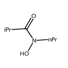 CCCN(O)C(=O)C(C)C